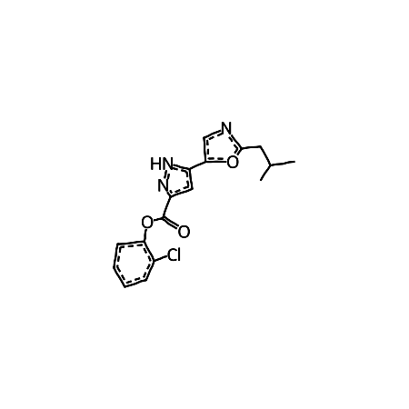 CC(C)Cc1ncc(-c2cc(C(=O)Oc3ccccc3Cl)n[nH]2)o1